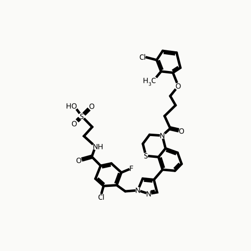 Cc1c(Cl)cccc1OCCCC(=O)N1CCSc2c(-c3cnn(Cc4c(F)cc(C(=O)NCCS(=O)(=O)O)cc4Cl)c3)cccc21